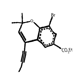 CC#CC1=CC(C)(C)Oc2c(Br)cc(C(=O)OCC)cc21